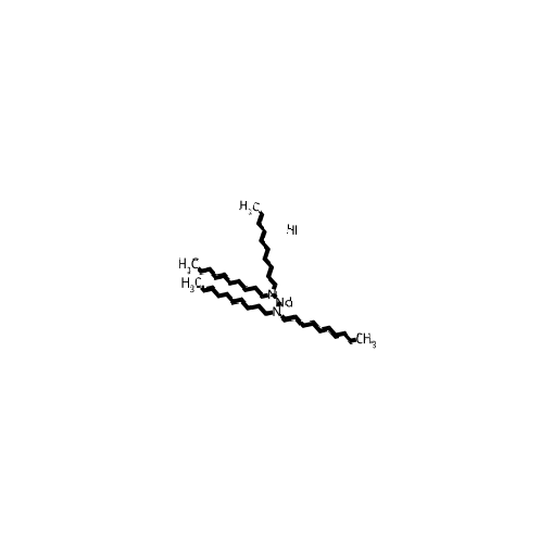 CCCCCCCCCC[N](CCCCCCCCCC)[Nd][N](CCCCCCCCCC)CCCCCCCCCC.I